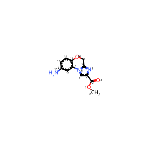 COC(=O)c1cn2c(n1)COc1ccc(N)cc1-2